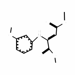 COC(=O)/C=C(\Nc1cccc(OC)c1)C(=O)OC